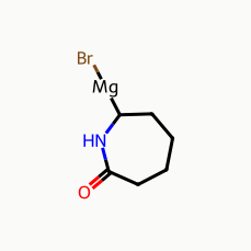 O=C1CCCC[CH]([Mg][Br])N1